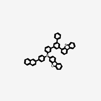 c1ccc(-c2cc(-c3cccc(N(c4ccc(-c5ccc6ccccc6c5)cc4)c4ccc5c(c4)oc4ccccc45)c3)cc(-c3cccc4c3sc3ccccc34)c2)cc1